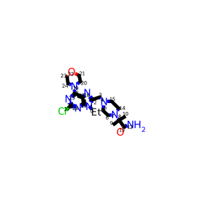 CCn1c(CN2CCN(C(C)(C)C(N)=O)CC2)nc2c(N3CCOCC3)nc(Cl)nc21